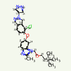 Cc1nc2ccc(Oc3ccc4c(c3Cl)CN(C3=C[N]N=C3)N=C4)cc2n1COCC[Si](C)(C)C